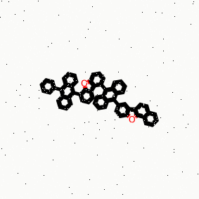 c1ccc(-c2c3ccccc3c(-c3cccc4c3oc3cccc(-c5c6ccccc6c(-c6ccc7oc8c9ccccc9ccc8c7c6)c6ccccc56)c34)c3ccccc23)cc1